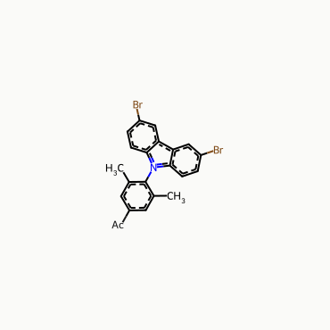 CC(=O)c1cc(C)c(-n2c3ccc(Br)cc3c3cc(Br)ccc32)c(C)c1